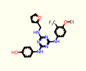 CCOc1ccc(Nc2nc(NCc3ccco3)nc(Nc3ccc(O)cc3)n2)cc1C(F)(F)F